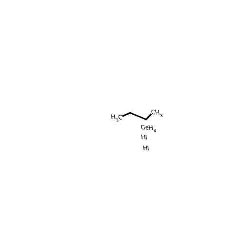 CCCC.I.I.[GeH4]